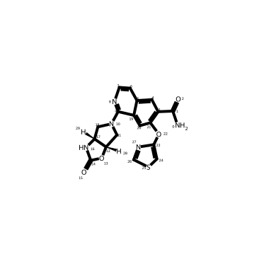 NC(=O)c1cc2ccnc(N3C[C@@H]4OC(=O)N[C@@H]4C3)c2cc1Oc1cscn1